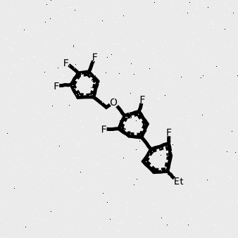 CCc1ccc(-c2cc(F)c(OCc3cc(F)c(F)c(F)c3)c(F)c2)c(F)c1